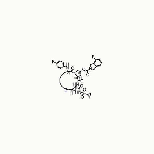 O=C1N[C@]2(C(=O)NS(=O)(=O)C3CC3)C[C@H]2/C=C\CCCCC[C@H](Nc2ccc(F)cc2)C(=O)N2C[C@H](OC(=O)N3Cc4cccc(F)c4C3)C[C@@H]12